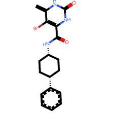 C=C1NC(=O)NC(C(=O)N[C@H]2CC[C@@H](c3ccccc3)CC2)=C1Br